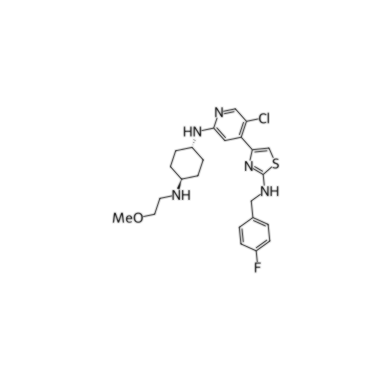 COCCN[C@H]1CC[C@H](Nc2cc(-c3csc(NCc4ccc(F)cc4)n3)c(Cl)cn2)CC1